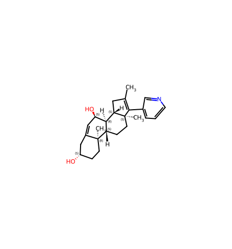 CC1=C(c2cccnc2)[C@@]2(C)CC[C@H]3[C@@H]([C@H](O)C=C4C[C@@H](O)CC[C@@]43C)[C@@H]2C1